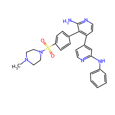 CN1CCN(S(=O)(=O)c2ccc(-c3c(-c4ccnc(Nc5ccccc5)c4)ccnc3N)cc2)CC1